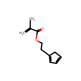 C=C(C)C(=O)OCCC1=CC=CC1